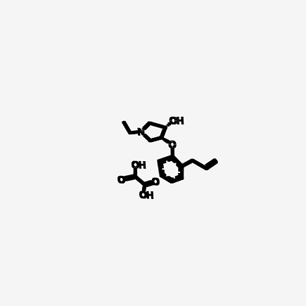 C=CCc1ccccc1O[C@H]1CN(CC)C[C@@H]1O.O=C(O)C(=O)O